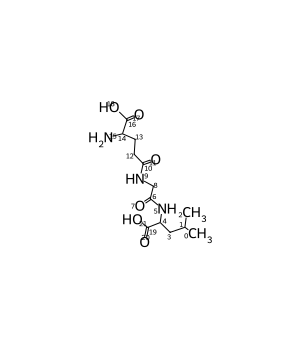 CC(C)CC(NC(=O)CNC(=O)CCC(N)C(=O)O)C(=O)O